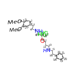 COc1ccc(CCNCCOCCCNCCc2ccccc2)cc1OC.Cl.Cl